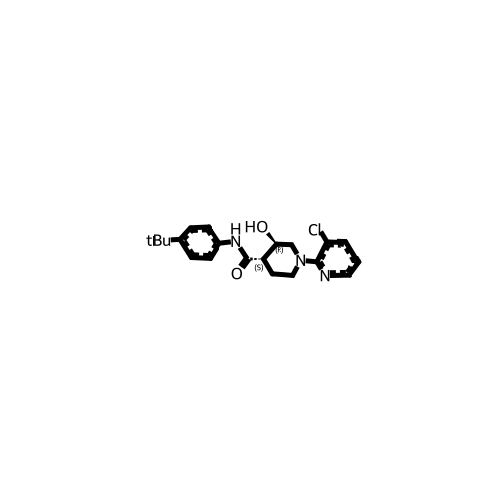 CC(C)(C)c1ccc(NC(=O)[C@H]2CCN(c3ncccc3Cl)C[C@@H]2O)cc1